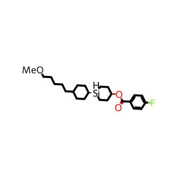 COCCCCCC1CCC([Si@H]2CC[C@H](OC(=O)c3ccc(F)cc3)CC2)CC1